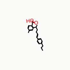 CCCc1ccc(C=CCCC(C)c2cc(C)ccc2C(=O)O)cc1